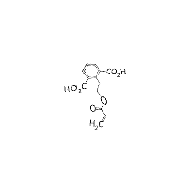 C=CC(=O)OCCc1c(C(=O)O)cccc1C(=O)O